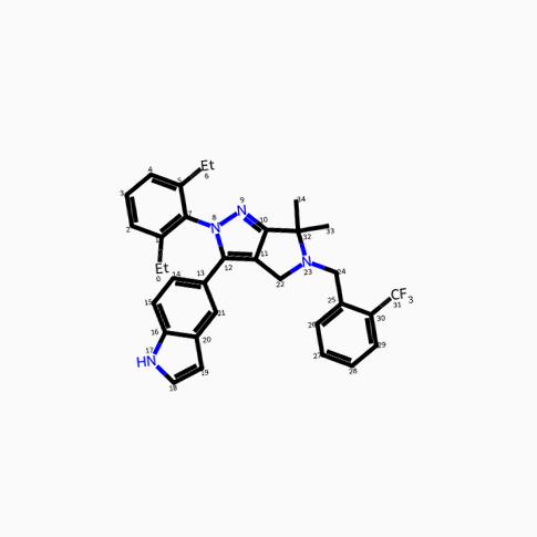 CCc1cccc(CC)c1-n1nc2c(c1-c1ccc3[nH]ccc3c1)CN(Cc1ccccc1C(F)(F)F)C2(C)C